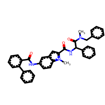 CN(Cc1ccccc1)C(=O)C(NC(=O)c1cc2cc(NC(=O)c3ccccc3-c3ccccc3)ccc2n1C)c1ccccc1